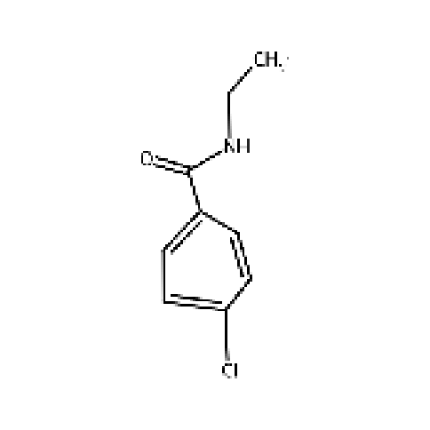 [CH2]CNC(=O)c1ccc(Cl)cc1